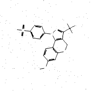 COc1ccc2c(c1)SCc1c(C(F)(F)F)nn(-c3ccc(S(N)(=O)=O)cc3)c1-2